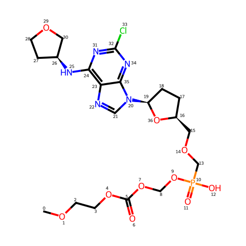 COCCOC(=O)OCOP(=O)(O)COC[C@@H]1CC[C@H](n2cnc3c(N[C@H]4CCOC4)nc(Cl)nc32)O1